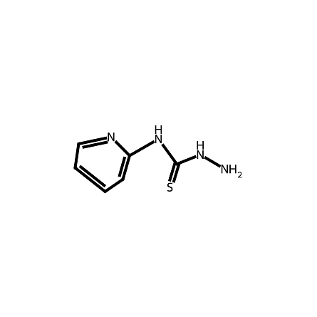 NNC(=S)Nc1ccccn1